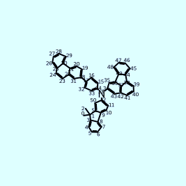 CC1(C)c2ccccc2-c2ccc(N(c3ccc(-c4ccc5c(ccc6ccccc65)c4)cc3)c3cc4c5c(cccc5c3)-c3ccccc3-4)cc21